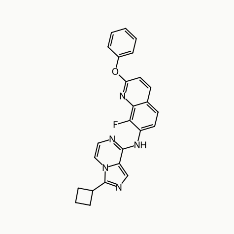 Fc1c(Nc2nccn3c(C4CCC4)ncc23)ccc2ccc(Oc3ccccc3)nc12